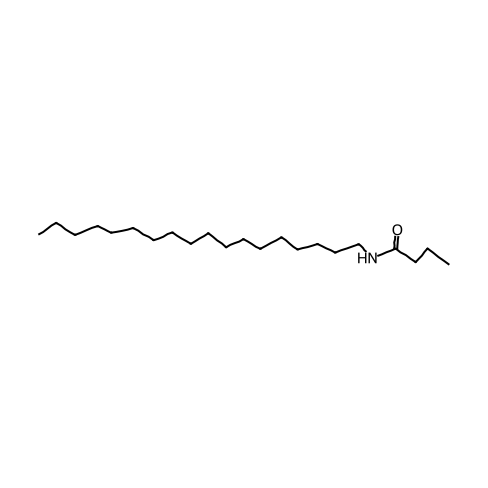 CCCCCCCCCCCCCCCCCCNC(=O)CCC